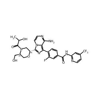 CC(O)C(=O)N1C[C@H](c2nc(-c3ccc(C(=O)Nc4cc(C(F)(F)F)ccn4)cc3F)c3c(N)nccn23)OC[C@H]1CO